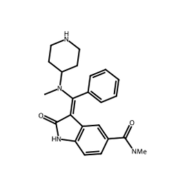 CNC(=O)c1ccc2c(c1)/C(=C(\c1ccccc1)N(C)C1CCNCC1)C(=O)N2